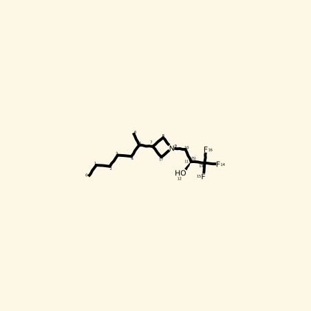 CCCCCC(C)C1CN(C[C@H](O)C(F)(F)F)C1